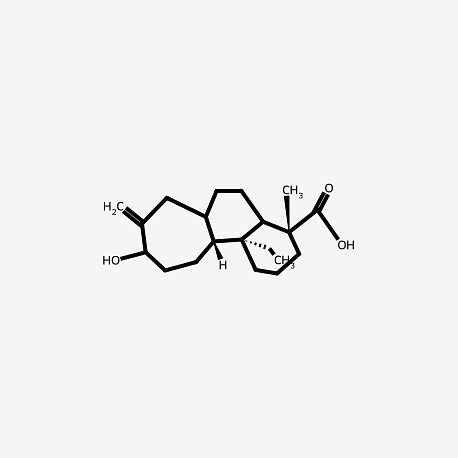 C=C1CC2CCC3[C@@](CC)(CCC[C@@]3(C)C(=O)O)[C@@H]2CCC1O